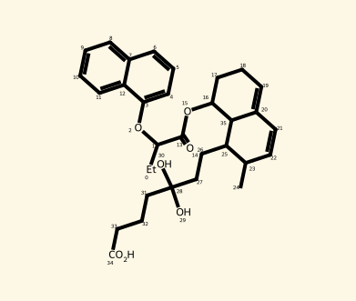 CCC(Oc1cccc2ccccc12)C(=O)OC1CCC=C2C=CC(C)C(CCC(O)(O)CCCC(=O)O)C21